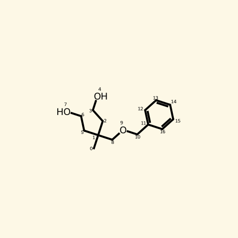 CC(CCO)(CCO)COCc1ccccc1